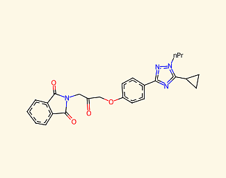 CCCn1nc(-c2ccc(OCC(=O)CN3C(=O)c4ccccc4C3=O)cc2)nc1C1CC1